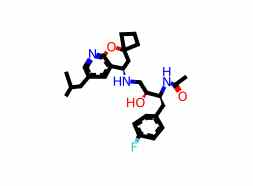 CC(=O)N[C@@H](Cc1ccc(F)cc1)[C@@H](O)CN[C@H]1CC2(CCC2)Oc2ncc(CC(C)C)cc21